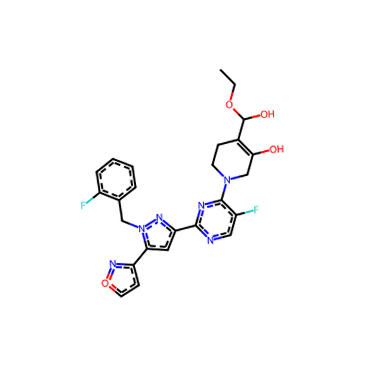 CCOC(O)C1=C(O)CN(c2nc(-c3cc(-c4ccon4)n(Cc4ccccc4F)n3)ncc2F)CC1